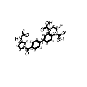 CC(=O)N[C@@H]1CCN(C(=O)c2ccc(-c3ccc4c(c3)N(C(=O)O)C[C@H](C)N4C(=O)O)cc2)C1